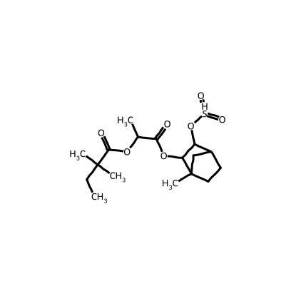 CCC(C)(C)C(=O)OC(C)C(=O)OC1C(O[SH](=O)=O)C2CCC1(C)C2